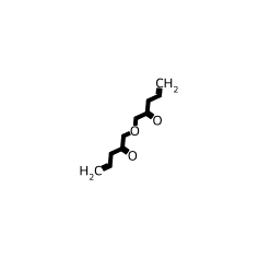 C=CCC(=O)COCC(=O)CC=C